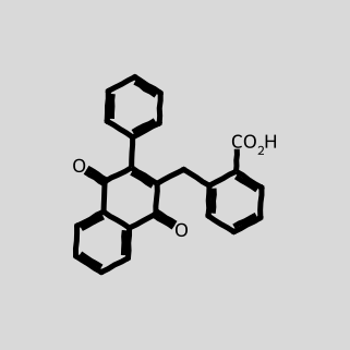 O=C(O)c1ccccc1CC1=C(c2ccccc2)C(=O)c2ccccc2C1=O